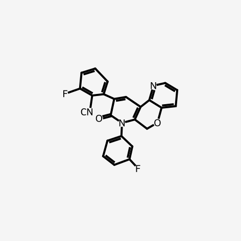 N#Cc1c(F)cccc1-c1cc2c(n(-c3cccc(F)c3)c1=O)COc1cccnc1-2